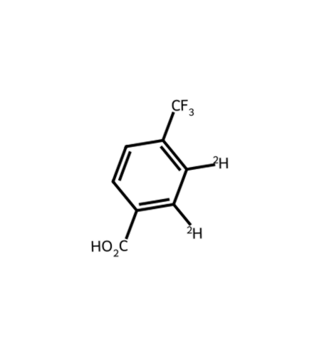 [2H]c1c(C(=O)O)ccc(C(F)(F)F)c1[2H]